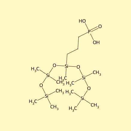 C[Si](C)(C)O[Si](C)(C)O[Si](C)(CCCP(=O)(O)O)O[Si](C)(C)O[Si](C)(C)C